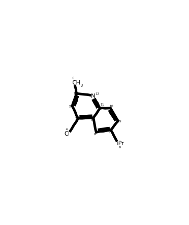 Cc1cc(Cl)c2cc(C(C)C)ccc2n1